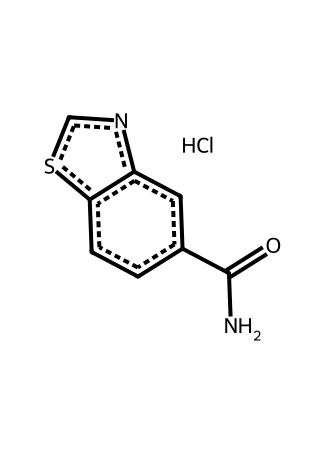 Cl.NC(=O)c1ccc2scnc2c1